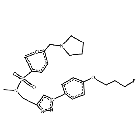 CN(Cc1cn(-c2ccc(OCCCF)cc2)nn1)S(=O)(=O)c1ccc(CN2CCCC2)cc1